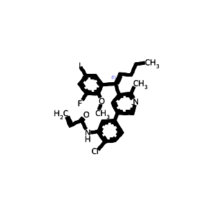 C=CC(=O)Nc1cc(-c2cnc(C)c(/C(=C\CCC)c3cc(I)cc(F)c3OC)c2)ccc1Cl